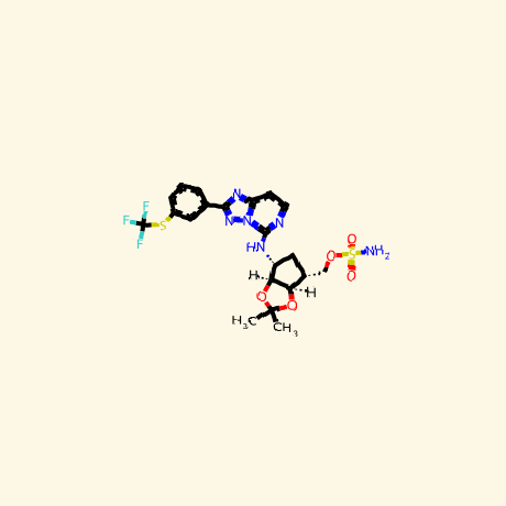 CC1(C)O[C@@H]2[C@@H](COS(N)(=O)=O)C[C@@H](Nc3nccc4nc(-c5cccc(SC(F)(F)F)c5)nn34)[C@@H]2O1